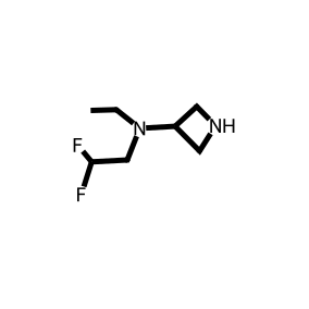 CCN(CC(F)F)C1CNC1